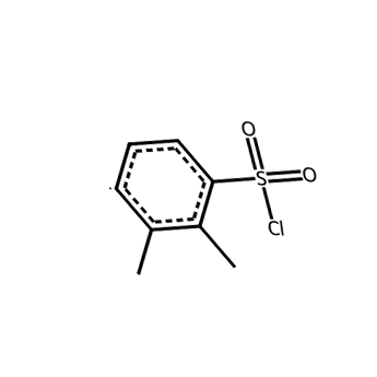 Cc1[c]ccc(S(=O)(=O)Cl)c1C